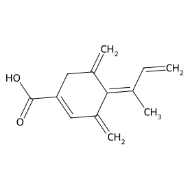 C=C/C(C)=C1/C(=C)C=C(C(=O)O)CC1=C